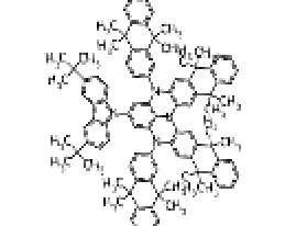 CC(C)(C)c1ccc2c(c1)c1cc(C(C)(C)C)ccc1n2-c1cc2c3c(c1)N(c1ccc4c(c1)C(C)(C)c1ccccc1C4(C)C)c1cc4c(cc1B3c1cc3c(cc1N2c1ccc2c(c1)C(C)(C)c1ccccc1C2(C)C)C(C)(C)c1ccccc1C3(C)C)C(C)(C)c1ccccc1C4(C)C